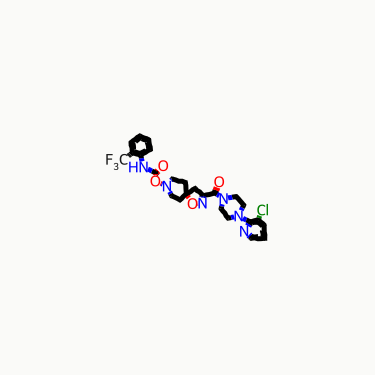 O=C(Nc1ccccc1C(F)(F)F)ON1CCC2(CC1)CC(C(=O)N1CCN(c3ncccc3Cl)CC1)=NO2